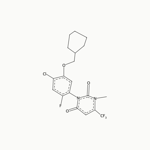 Cn1c(C(F)(F)F)cc(=O)n(-c2cc(OCC3CCCCC3)c(Cl)cc2F)c1=O